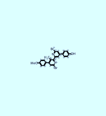 COc1ccc(-c2cc(Br)nc(-c3cc(-c4ccc(O)cc4)cc(Br)n3)c2C)cc1